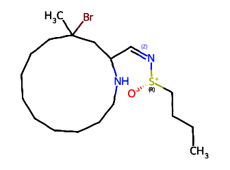 CCCC[S@+]([O-])/N=C\C1CC(C)(Br)CCCCCCCCCN1